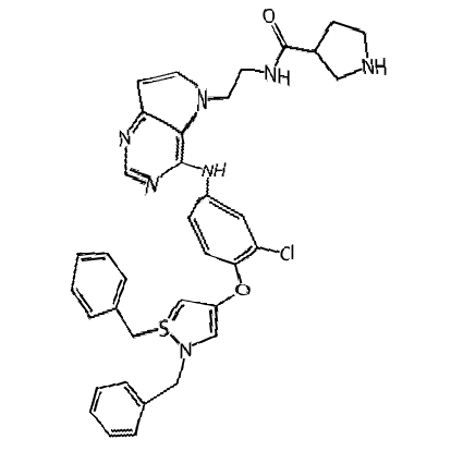 O=C(NCCn1ccc2ncnc(Nc3ccc(OC4=CN(Cc5ccccc5)S(Cc5ccccc5)=C4)c(Cl)c3)c21)C1CCNC1